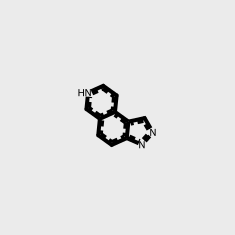 c1cc2c(ccc3nncc32)c[nH]1